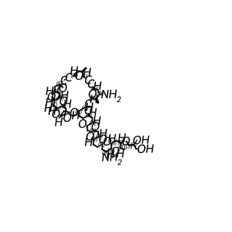 C=C1C[C@@H]2CC[C@@]34C[C@H]5O[C@H]6[C@@H](O3)[C@H]3O[C@H](CC[C@@H]3O[C@H]6C5O4)CC(=O)O[C@@H]3CC4OC5C[C@]6(C[C@@H]7O[C@@]8(CC[C@@H]7O6)C[C@H](N)[C@@H]6O[C@@H]7C[C@@H]([C@@H](O)CO)O[C@@H]7C[C@@H]6O8)O[C@@H]5C[C@@H]4O[C@H]3C[C@H]3O[C@@H](CC[C@@H]1O2)C[C@@H](N)C3=C